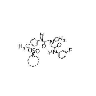 Cc1ccc(NC(=O)CN(C)CC(=O)Nc2cccc(F)c2)cc1S(=O)(=O)N1CCCCCCC1